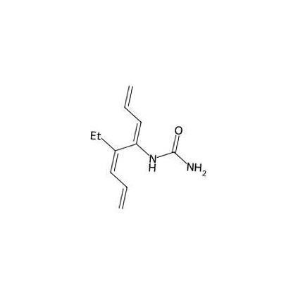 C=C/C=C(CC)\C(=C/C=C)NC(N)=O